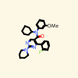 COc1cccc(N(C(=O)c2cnc(N3CCCCC3)nc2-c2ccccc2F)C2CCCCC2)c1